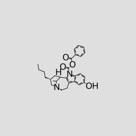 CCCC[C@H]1C[C@H]2c3c(c4cc(O)ccc4n3C(=O)OC(=O)c3ccccc3)CC[N@@](C1)C2C